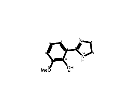 COc1cccc(C2=NCCN2)c1O